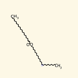 CCCCCCCC/C=C\CCCCCCCCCCCCOC(=O)C=CCCCCCCCCCCCCCCCCC